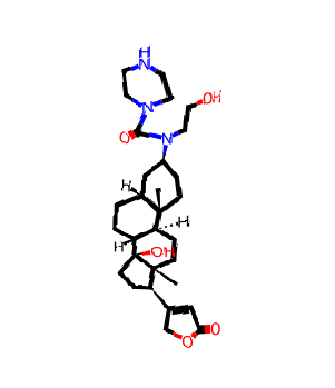 C[C@]12CC[C@H](N(CCO)C(=O)N3CCNCC3)C[C@H]1CC[C@@H]1[C@@H]2CC[C@]2(C)[C@@H](C3=CC(=O)OC3)CC[C@]12O